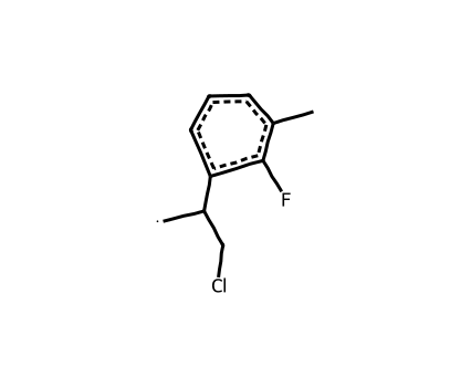 [CH2]C(CCl)c1cccc(C)c1F